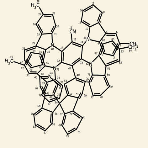 Cc1ccc2c(c1)c1ccccc1n2-c1c(C#N)c(-n2c3ccccc3c3cc(C)ccc32)c(-n2c3ccccc3c3cc(C)ccc32)c(-c2ccc3c(c2)C2(c4ccccc4-c4ccncc42)c2ccccc2-3)c1-n1c2ccccc2c2cc(C)ccc21